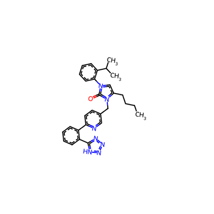 CCCCc1cn(-c2ccccc2C(C)C)c(=O)n1Cc1ccc(-c2ccccc2-c2nnn[nH]2)nc1